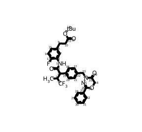 CC(C(C(=O)Nc1cc(CCC(=O)OC(C)(C)C)ccc1F)c1ccc(CN2N=C(c3ccccc3)OCC2=O)cc1)C(F)(F)F